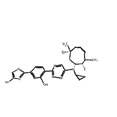 CC[C@]1(C)CCCC(C)[C@H](F)[C@H](N(c2cnc(-c3ccc(-c4nc(C#N)cs4)cc3O)nn2)C2CC2)C1